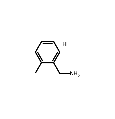 Cc1ccccc1CN.I